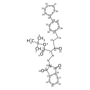 CC(C)(C)OC(=O)C(CCN1C(=O)c2ccccc2C1=O)C(=O)CCc1ccc(-c2ccccc2)cc1